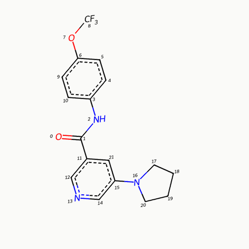 O=C(Nc1ccc(OC(F)(F)F)cc1)c1cncc(N2CCCC2)c1